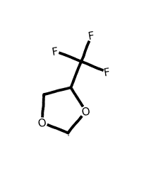 FC(F)(F)C1CO[CH]O1